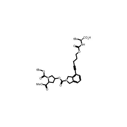 COC(=O)C1CC(OC(=O)N2Cc3cccc(C#CCCCOC(=O)N[C@H](C(=O)O)C(C)(C)C)c3C2)CN1C(=O)OC(C)(C)C